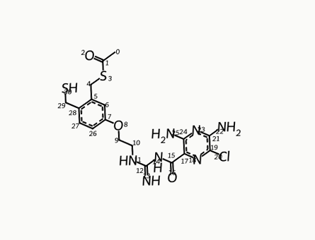 CC(=O)SCc1cc(OCCNC(=N)NC(=O)c2nc(Cl)c(N)nc2N)ccc1CS